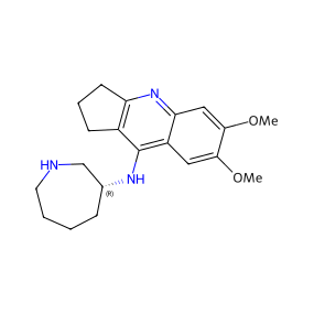 COc1cc2nc3c(c(N[C@@H]4CCCCNC4)c2cc1OC)CCC3